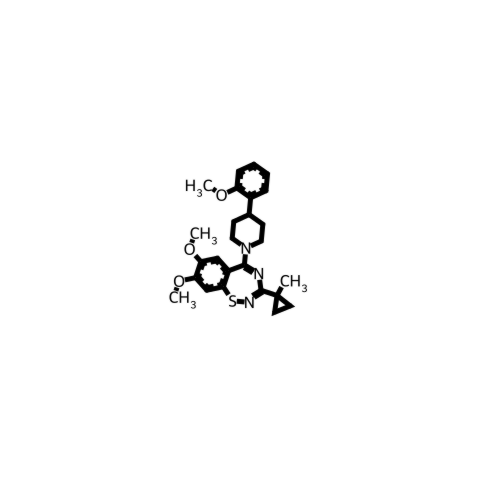 COc1cc2c(cc1OC)C(N1CCC(c3ccccc3OC)CC1)=NC(C1(C)CC1)=NS2